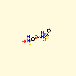 O=C(NCCCOc1ccc(C(=S)NO)cc1)c1nc(-c2ccccc2)cs1